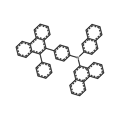 c1ccc(-c2c(-c3ccc(N(c4ccc5ccccc5c4)c4cc5ccccc5c5ccccc45)cc3)c3ccccc3c3ccccc23)cc1